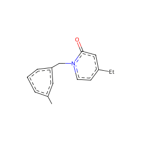 CCc1ccn(Cc2cccc(C)c2)c(=O)c1